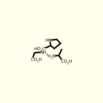 CC(N)C(=O)O.NCC(=O)O.O=C(O)C1CCCN1